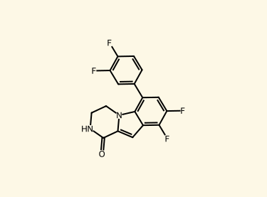 O=C1NCCn2c1cc1c(F)c(F)cc(-c3ccc(F)c(F)c3)c12